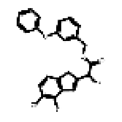 CC(C)C(C(=O)OCc1cccc(Oc2ccccc2)c1)C1=Cc2c(ccc(Cl)c2Cl)C1